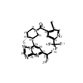 Cc1cnc(C(F)(F)F)cc1C(=O)N1CC[C@@H](C)[C@H](c2cc(C(F)F)nc3ncnn23)C1